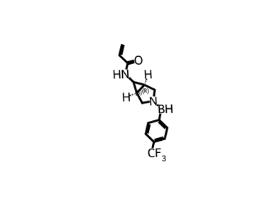 C=CC(=O)NC1[C@H]2CN(Bc3ccc(C(F)(F)F)cc3)C[C@@H]12